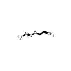 C=CCO/N=N/C